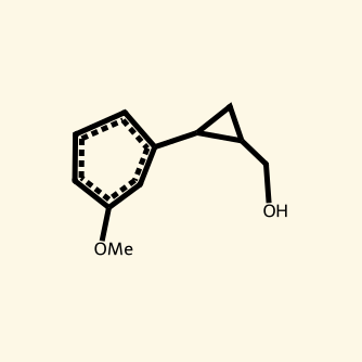 COc1cccc(C2CC2CO)c1